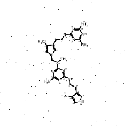 Cc1cn(CN(C)c2nc(N)nc(NCCc3c[nH]cc3C)n2)cc1CCNc1nc(N)nc(N)n1